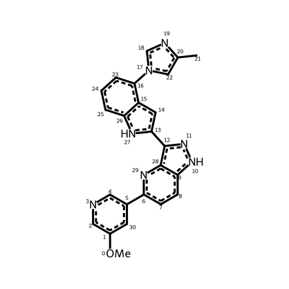 COc1cncc(-c2ccc3[nH]nc(-c4cc5c(-n6cnc(C)c6)cccc5[nH]4)c3n2)c1